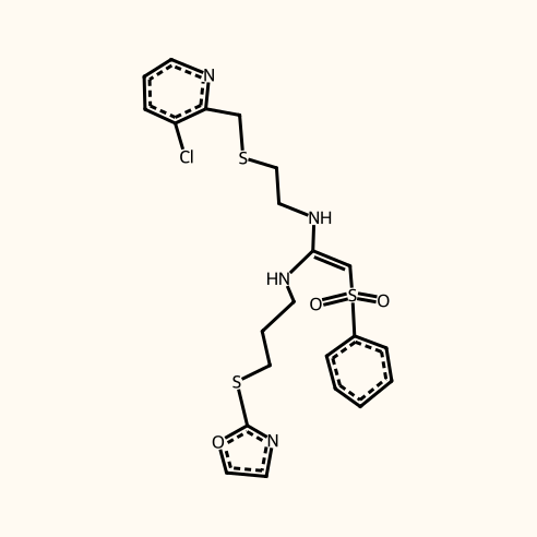 O=S(=O)(C=C(NCCCSc1ncco1)NCCSCc1ncccc1Cl)c1ccccc1